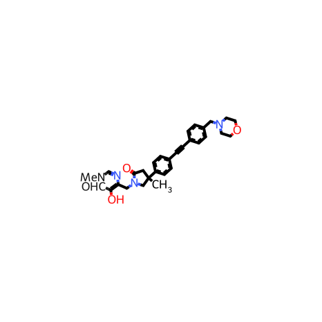 CN/C=N\C(CN1CC(C)(c2ccc(C#Cc3ccc(CN4CCOCC4)cc3)cc2)CC1=O)=C(\O)C=O